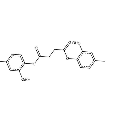 COc1cc(C)ccc1OC(=O)CCC(=O)Oc1ccc(C)cc1C=O